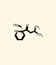 CC(C)CC(=O)[C@@]1(CO)C=CC=CN1